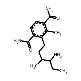 CCC(N)C(C)CCc1c(C(N)=O)ccc(C(N)=O)c1C